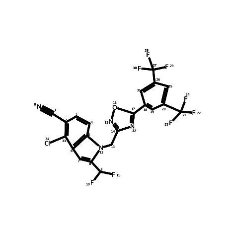 N#Cc1ccc2c(cc(C(F)F)n2Cc2noc(-c3cc(C(F)(F)F)cc(C(F)(F)F)c3)n2)c1Cl